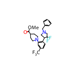 COC(=O)C1CCN(c2cc(C(F)(F)F)ccc2C2CN(Cc3ccccc3)CC2(F)F)CC1